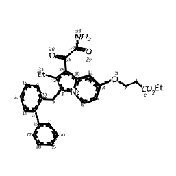 CCOC(=O)CCOc1ccn2c(Cc3ccccc3-c3ccccc3)c(CC)c(C(=O)C(N)=O)c2c1